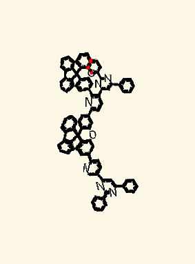 c1ccc(-c2cc(-c3ccc(-c4ccc5c(c4)Oc4cc(-c6ccc(-c7cc(-c8ccccc8)nc(-c8ccccc8)n7)c(-c7ccc8c(c7)Oc7ccccc7C87c8ccccc8-c8ccccc87)n6)ccc4C54c5ccccc5-c5ccccc54)nc3)nc(-c3ccccc3)n2)cc1